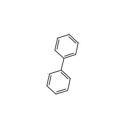 [c]1[c]cc(-c2[c]cccc2)cc1